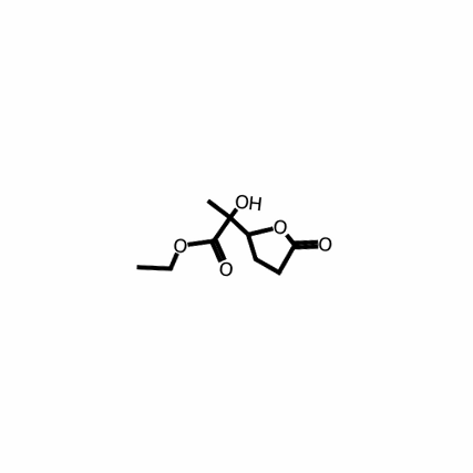 CCOC(=O)C(C)(O)C1CCC(=O)O1